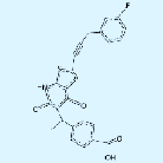 CC(c1ccc(C(=O)O)cc1)n1c(=O)[nH]c2sc(C#CCc3cccc(F)c3)cc2c1=O